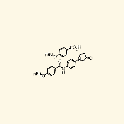 CCCCOc1ccc(C(=O)Nc2ccc(N3CCC(=O)C3)cc2)cc1.CCCCOc1ccc(C(=O)O)cc1